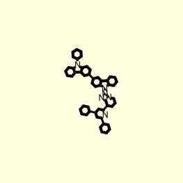 c1ccc(-c2cc(-c3ccccc3)nc(-c3cccn4c3nn4-n3c4ccccc4c4cc(-c5ccc6c(c5)c5ccccc5n6-c5ccccc5)ccc43)c2)cc1